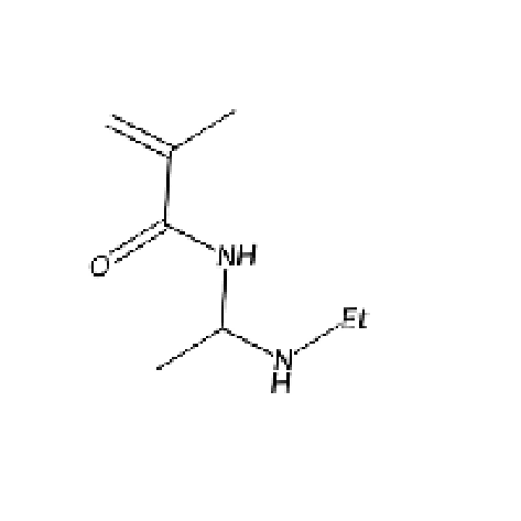 C=C(C)C(=O)NC(C)NCC